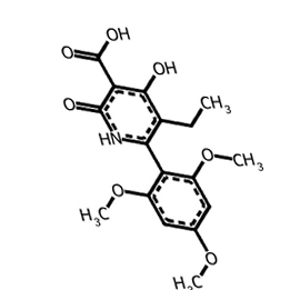 CCc1c(-c2c(OC)cc(OC)cc2OC)[nH]c(=O)c(C(=O)O)c1O